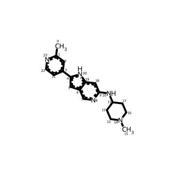 Cc1cc(-c2cc3cnc(NC4CCN(C)CC4)cc3[nH]2)ccn1